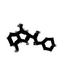 O=C(NC1CCOCC1)c1cc(Br)c2cccc(F)c2n1